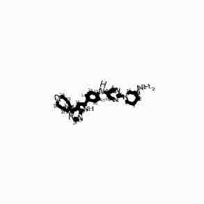 N[C@@H]1CCCN(c2ncc(Nc3ccc(-c4cc5c(N6C7CCC6COC7)ncnc5[nH]4)cc3)cn2)C1